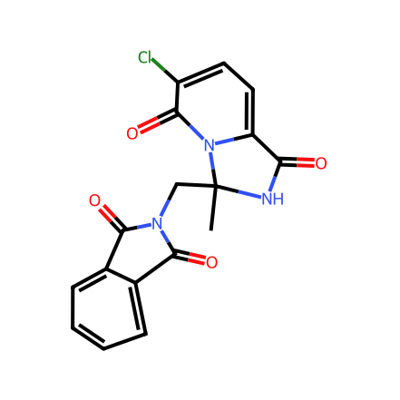 CC1(CN2C(=O)c3ccccc3C2=O)NC(=O)c2ccc(Cl)c(=O)n21